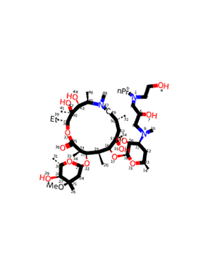 CCCN(CCO)CC(O)CN(C)[C@H]1C[C@@H](C)O[C@@H](O[C@@H]2[C@@H](C)[C@H](O[C@H]3C[C@@](C)(OC)[C@@H](O)[C@H](C)O3)[C@@H](C)C(=O)O[C@H](CC)[C@@](C)(O)[C@H](O)[C@@H](C)N(C)C[C@H](C)C[C@@]2(C)O)[C@@H]1O